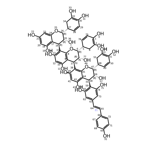 OC1=C(O)CC([C@H]2Oc3c(c(O)cc(O)c3[C@H]3c4c(O)cc(O)cc4O[C@H](C4C=CC(O)=C(O)C4)[C@@H]3O)[C@H](c3c(O)cc(O)c4c3O[C@H](C3C=CC(O)=C(O)C3)[C@H](O)[C@H]4c3c(O)cc(/C=C/c4ccc(O)cc4)cc3O)[C@H]2O)C=C1